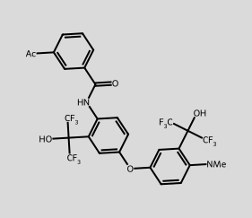 CNc1ccc(Oc2ccc(NC(=O)c3cccc(C(C)=O)c3)c(C(O)(C(F)(F)F)C(F)(F)F)c2)cc1C(O)(C(F)(F)F)C(F)(F)F